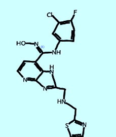 O/N=C(/Nc1ccc(F)c(Cl)c1)c1ccnc2nc(CNCc3nccs3)[nH]c12